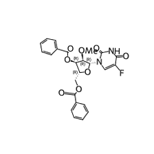 CO[C@@H]1[C@H](OC(=O)c2ccccc2)[C@@H](COC(=O)c2ccccc2)O[C@H]1n1cc(F)c(=O)[nH]c1=O